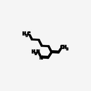 C/C=C(/C=N\N)CCCCC